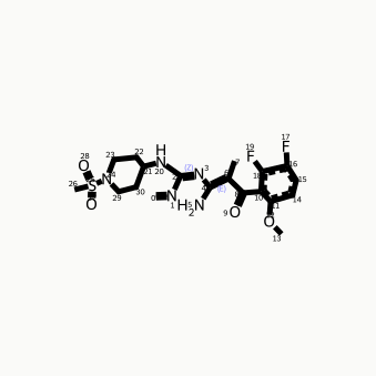 C=N/C(=N\C(N)=C(/C)C(=O)c1c(OC)ccc(F)c1F)NC1CCN(S(C)(=O)=O)CC1